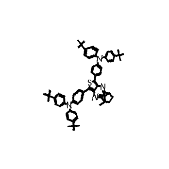 CC(C)(C)c1ccc(N(c2ccc(-c3sc(-c4ccc(N(c5ccc(C(C)(C)C)cc5)c5ccc(C(C)(C)C)cc5)cc4)c4nc5c(nc34)C3CCC5(C)C3(C)C)cc2)c2ccc(C(C)(C)C)cc2)cc1